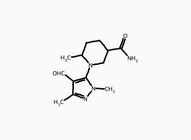 Cc1nn(C)c(N2CC(C(N)=O)CCC2C)c1C=O